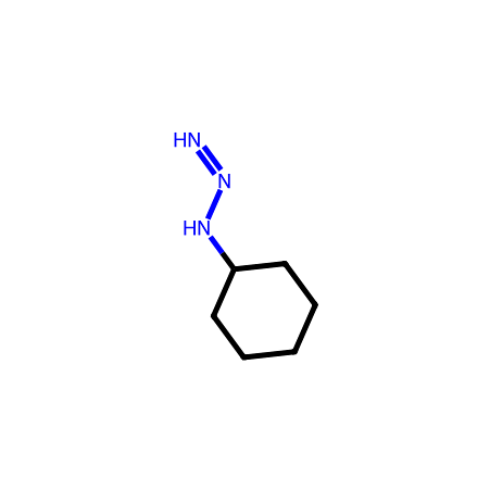 N=NNC1CCCCC1